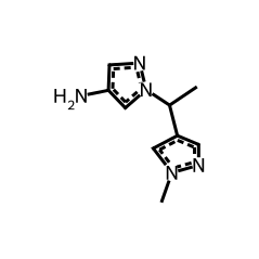 CC(c1cnn(C)c1)n1cc(N)cn1